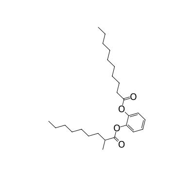 CCCCCCCCCC(=O)Oc1ccccc1OC(=O)C(C)CCCCCCC